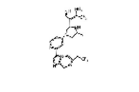 CC1CN(c2ccnc(-c3cnc4cnc(CC(F)(F)F)cn34)n2)CC(/C(C=N)=C(/N)C(F)(F)F)N1